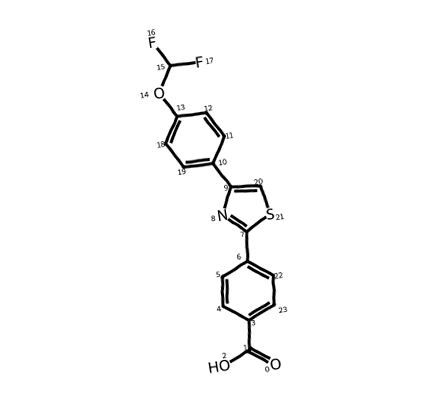 O=C(O)c1ccc(-c2nc(-c3ccc(OC(F)F)cc3)cs2)cc1